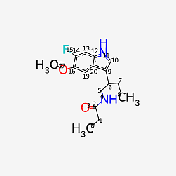 CCC(=O)NCC(CC)c1c[nH]c2cc(F)c(OC)cc12